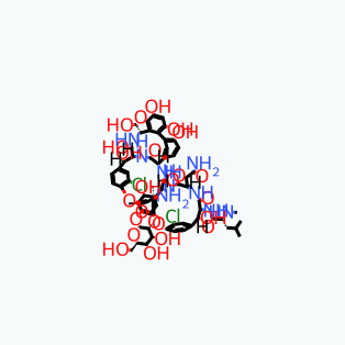 CN[C@H](CC(C)C)C(=O)NC1C(=O)N[C@@H](CC(N)=O)C(=O)N[C@H]2C(=O)N[C@H]3C(=O)N[C@@H]([C@H](O)c4ccc(c(Cl)c4)Oc4cc2cc(c4OC2O[C@H](CO)[C@@H](O)[C@H](O)[C@H]2O[C@H]2C[C@](C)(N)[C@H](O)[C@H](C)O2)Oc2ccc(cc2Cl)[C@H]1O)[C@@H](O)N[C@H](C(=O)O)c1cc(O)cc(O)c1-c1cc3ccc1O